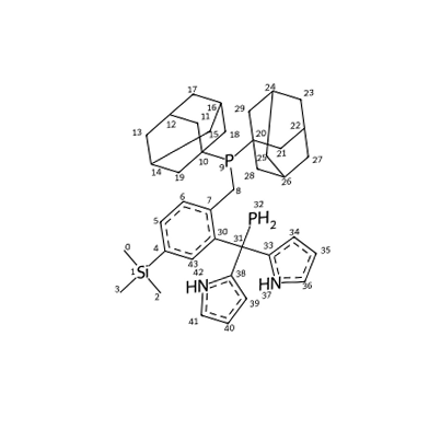 C[Si](C)(C)c1ccc(CP(C23CC4CC(CC(C4)C2)C3)C23CC4CC(CC(C4)C2)C3)c(C(P)(c2ccc[nH]2)c2ccc[nH]2)c1